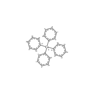 c1cc[c]([Cu]([c]2ccccc2)([c]2ccccc2)[c]2ccccc2)cc1